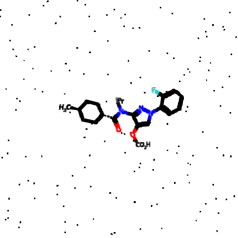 CC(C)N(c1nn(-c2ccccc2F)cc1OC(=O)O)C(=O)[C@H]1CC[C@H](C)CC1